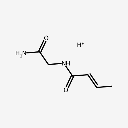 CC=CC(=O)NCC(N)=O.[H+]